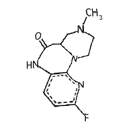 CN1CCN2c3nc(F)ccc3NC(=O)C2C1